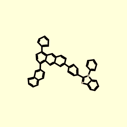 c1ccc(-c2ccc(-c3ccc4ccccc4c3)c3cc4cc(-c5ccc(-c6nc7ccccc7n6-c6ccccc6)cc5)ccc4cc23)cc1